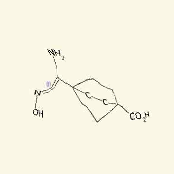 N/C(=N/O)C12CCC(C(=O)O)(CC1)CC2